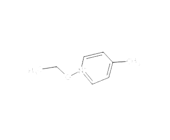 CCO[n+]1ccc(C)cc1